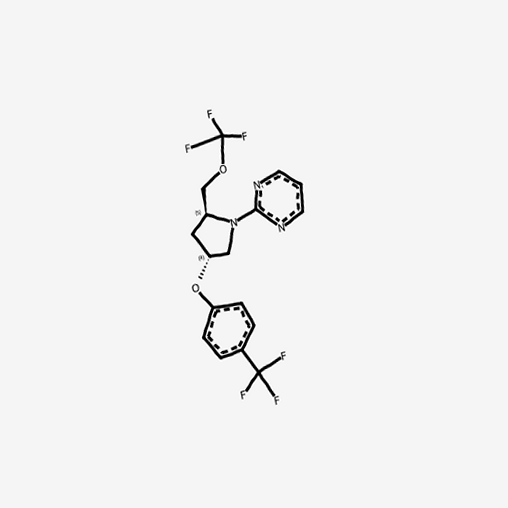 FC(F)(F)OC[C@@H]1C[C@@H](Oc2ccc(C(F)(F)F)cc2)CN1c1ncccn1